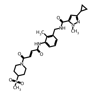 Cc1c(CNC(=O)c2cc(C3CC3)nn2C)cccc1NC(=O)/C=C/C(=O)N1CCC(S(C)(=O)=O)CC1